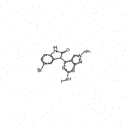 CCCn1cc2c(C3C(=O)Nc4ccc(Br)cc43)nc(NI)nc2n1